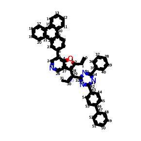 C=Cc1oc2c(-c3ccc4c5ccccc5c5ccccc5c4c3)cncc2c1/C(=C\C)c1nc(-c2ccccc2)nc(-c2ccc(-c3ccccc3)cc2)n1